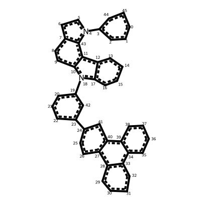 c1ccc(-n2ccc3ccc4c(c5ccccc5n4-c4cccc(-c5ccc6c7ccccc7c7ccccc7c6c5)c4)c32)cc1